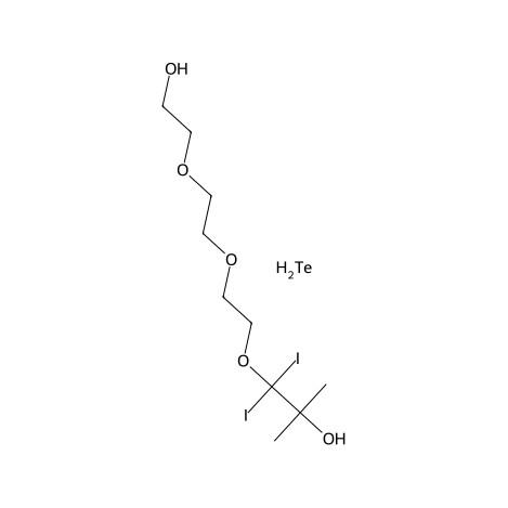 CC(C)(O)C(I)(I)OCCOCCOCCO.[TeH2]